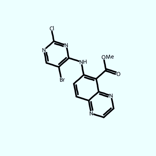 COC(=O)c1c(Nc2nc(Cl)ncc2Br)ccc2nccnc12